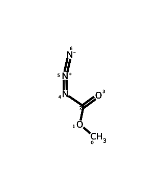 COC(=O)N=[N+]=[N-]